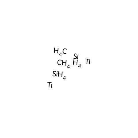 C.C.[SiH4].[SiH4].[Ti].[Ti]